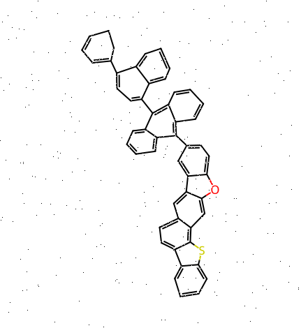 C1=CCCC(c2ccc(-c3c4ccccc4c(-c4ccc5oc6cc7c(ccc8c9ccccc9sc78)cc6c5c4)c4ccccc34)c3ccccc23)=C1